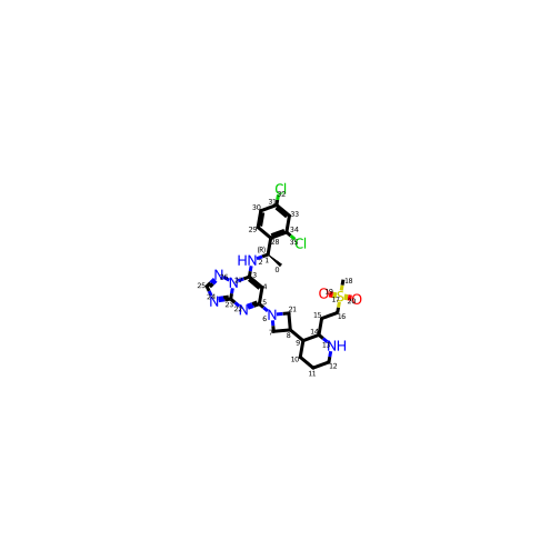 C[C@@H](Nc1cc(N2CC(C3CCCNC3CCS(C)(=O)=O)C2)nc2ncnn12)c1ccc(Cl)cc1Cl